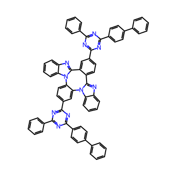 c1ccc(-c2ccc(-c3nc(-c4ccccc4)nc(-c4ccc5c(c4)c4nc6ccccc6n4c4ccc(-c6nc(-c7ccccc7)nc(-c7ccc(-c8ccccc8)cc7)n6)cc4n4c6ccccc6nc54)n3)cc2)cc1